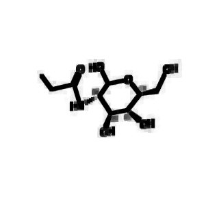 CCC(=O)N[C@@H]1C(O)O[C@@H](CO)[C@@H](O)[C@H]1O